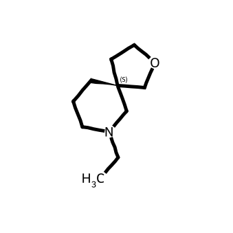 CCN1CCC[C@]2(CCOC2)C1